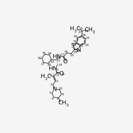 C/C(=C\CN1CCC(C)CC1)C(=O)NC[C@@H](NC(=O)CCc1nc2ccc(C(C)C)cc2s1)C1CCCCC1